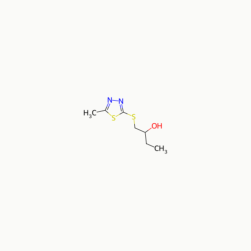 CCC(O)CSc1nnc(C)s1